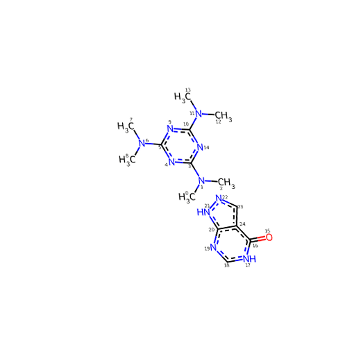 CN(C)c1nc(N(C)C)nc(N(C)C)n1.O=c1[nH]cnc2[nH]ncc12